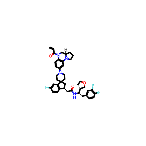 C=CC(=O)N1C[C@@H]2CCCN2c2cc(N3CCC4(CC3)C[C@@H](CC(=O)N[C@@H](Cc3ccc(F)c(F)c3)[C@@H]3CCOC3)c3ccc(F)cc34)ccc21